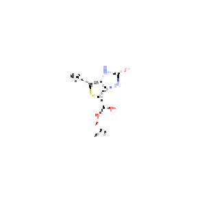 COC(=O)c1sc(C)c2[nH]c(=O)[nH]c12